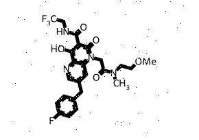 COCCN(C)C(=O)Cn1c(=O)c(C(=O)NCC(F)(F)F)c(O)c2ncc(Cc3ccc(F)cc3)cc21